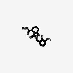 COC(=O)C1CCCc2nn(Cc3cccc(C(F)(F)F)c3F)c(=O)n21